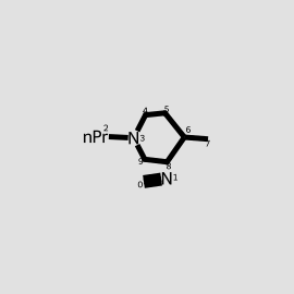 C#N.CCCN1CCC(C)CC1